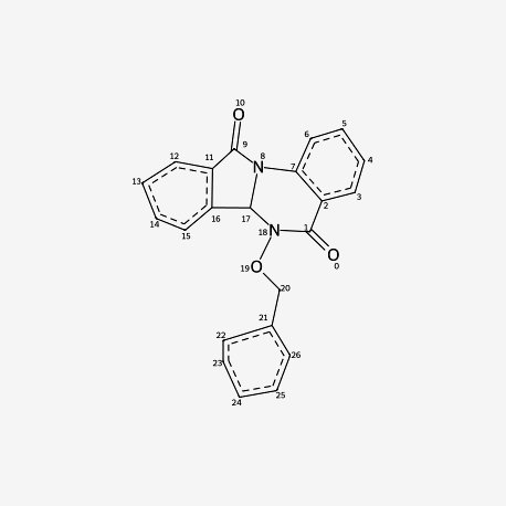 O=C1c2ccccc2N2C(=O)c3ccccc3C2N1OCc1ccccc1